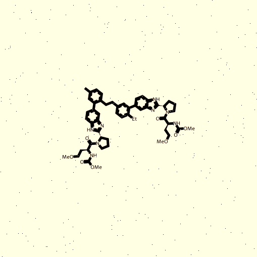 CCc1ccc(CCc2ccc(C)cc2-c2ccc3[nH]c([C@@H]4CCCN4C(=O)[C@H](CCOC)NC(=O)OC)nc3c2)cc1-c1ccc2[nH]c([C@@H]3CCCN3C(=O)[C@H](CCOC)NC(=O)OC)nc2c1